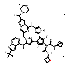 O=C(NC12CC(C1)C2)O[C@H]1CC[C@@H](c2cc(Nc3nc(C[n+]4[nH]c([C@@H]5CC[C@H](OC(=O)NC67CC(C6)C7)[C@@H]5F)cc4Nc4nccn5nc(C(F)(F)F)cc45)cn4nc(C(=O)N5CCOCC5)cc34)n[nH]2)[C@@H]1F